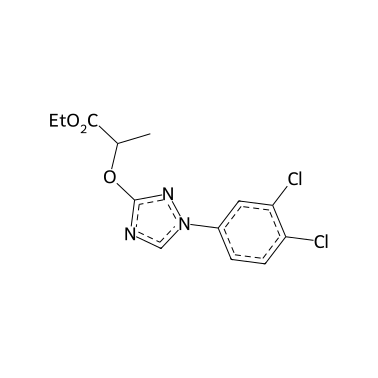 CCOC(=O)C(C)Oc1ncn(-c2ccc(Cl)c(Cl)c2)n1